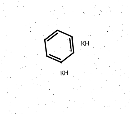 [KH].[KH].[c]1ccccc1